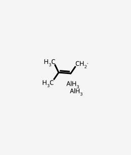 [AlH3].[AlH3].[CH2]C=C(C)C